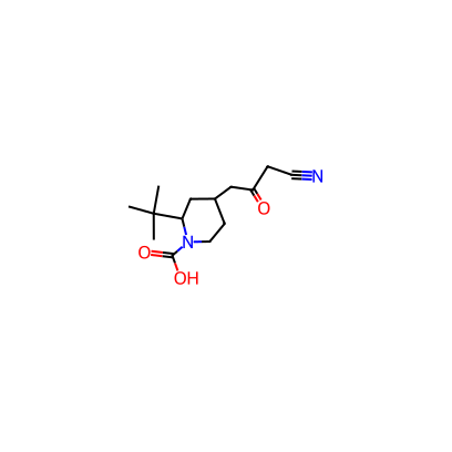 CC(C)(C)C1CC(CC(=O)CC#N)CCN1C(=O)O